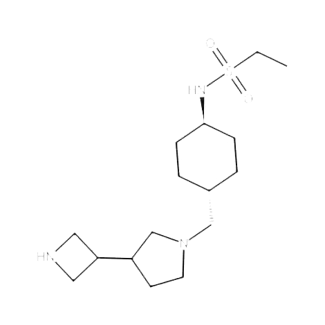 CCS(=O)(=O)N[C@H]1CC[C@H](CN2CCC(C3CNC3)C2)CC1